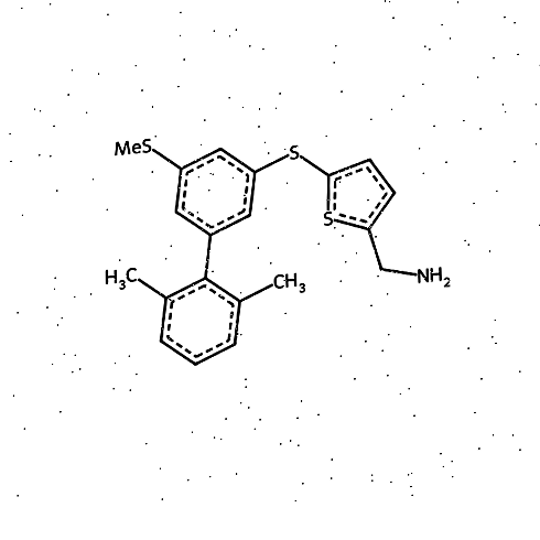 CSc1cc(Sc2ccc(CN)s2)cc(-c2c(C)cccc2C)c1